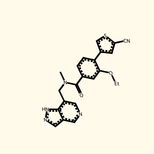 CCOc1cc(C(=O)N(C)Cc2cncc3cn[nH]c23)ccc1-c1csc(C#N)c1